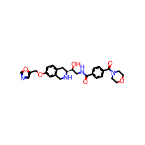 O=C(NCC(O)[C@@H]1Cc2ccc(OCc3cnco3)cc2CN1)c1ccc(C(=O)N2CCOCC2)cc1